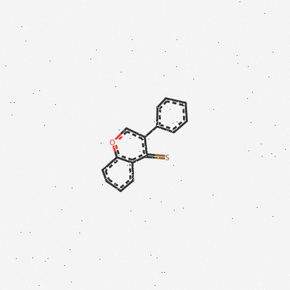 S=c1c(-c2ccccc2)coc2ccccc12